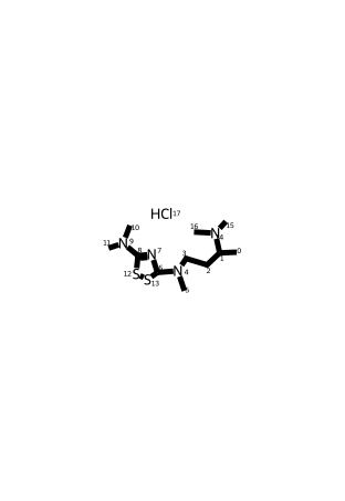 CC(CCN(C)C1N=C(N(C)C)SS1)N(C)C.Cl